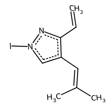 C=Cc1nn(I)cc1C=C(C)C